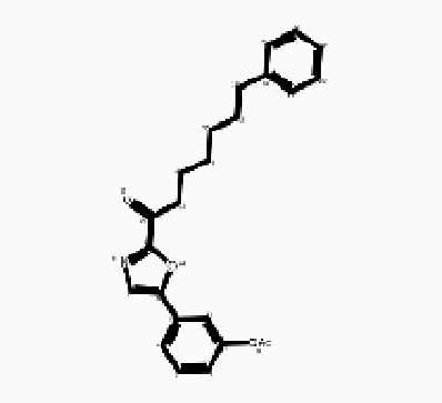 CC(=O)Oc1cccc(-c2cnc(C(=O)CCCCCCc3ccccc3)o2)c1